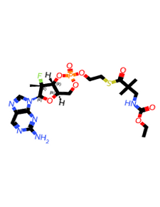 CCOC(=O)NCC(C)(C)C(=O)SCCOP1(=O)OC[C@H]2O[C@@H](n3cnc4cnc(N)nc43)[C@](C)(F)[C@@H]2O1